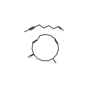 CC#CCCCCC=O.CC1CC/C=C\CCC/C=C/CC(=O)OCC1